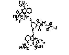 CCn1/c(=C/C=C2C=C(/C=C/C3=[N+](CC)c4c(S(=O)(=O)O)cc(S(=O)(=O)O)c5cccc3c45)CC(C(=O)O)(C(=O)NCCS(=O)(=O)O)C/2)c2cccc3c(S(=O)(=O)O)cc(S(=O)(=O)O)c1c32